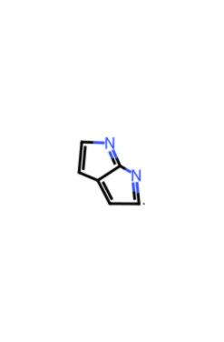 [C]1=NC2=NC=CC2=C1